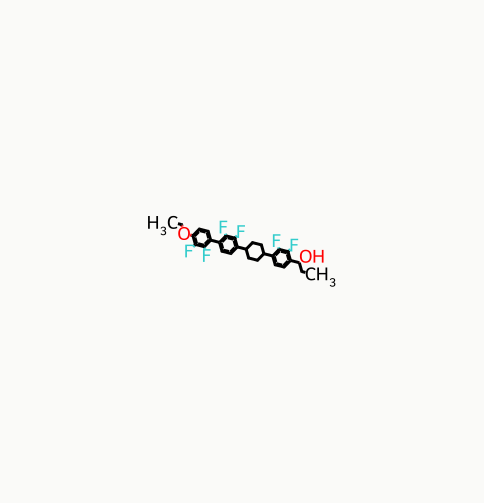 CCOc1ccc(-c2ccc(C3CCC(c4ccc(C(O)CC)c(F)c4F)CC3)c(F)c2F)c(F)c1F